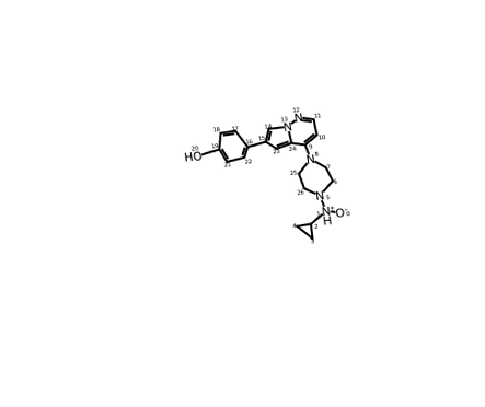 [O-][NH+](C1CC1)N1CCN(c2ccnn3cc(-c4ccc(O)cc4)cc23)CC1